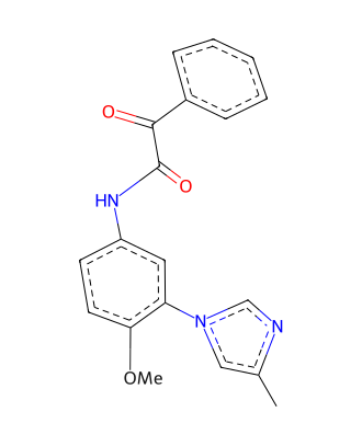 COc1ccc(NC(=O)C(=O)c2ccccc2)cc1-n1cnc(C)c1